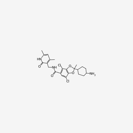 Cc1cc(C)c(CNC(=O)c2cc(Cl)c3c(c2Cl)OC(C)(C2CCC(N)CC2)O3)c(=O)[nH]1